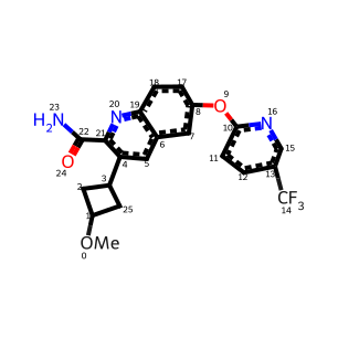 COC1CC(c2cc3cc(Oc4ccc(C(F)(F)F)cn4)ccc3nc2C(N)=O)C1